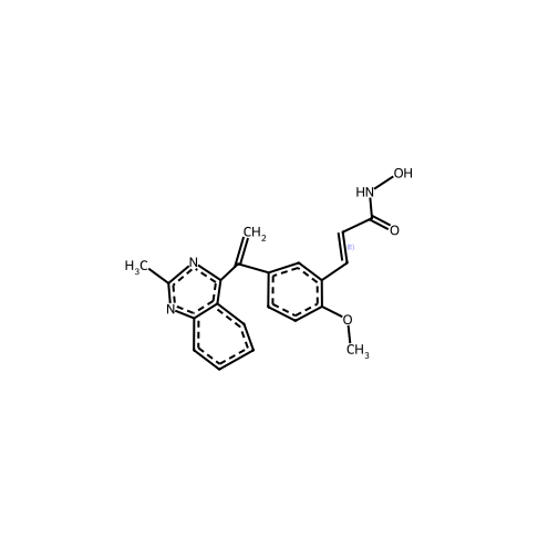 C=C(c1ccc(OC)c(/C=C/C(=O)NO)c1)c1nc(C)nc2ccccc12